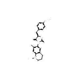 COc1ccc(C=C2NC(=O)N(c3cc4c(cc3C)N(C(C)C)CCC4)C2=O)cc1